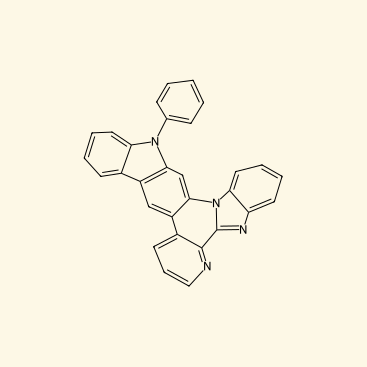 c1ccc(-n2c3ccccc3c3cc4c5cccnc5c5nc6ccccc6n5c4cc32)cc1